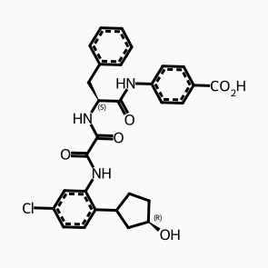 O=C(Nc1cc(Cl)ccc1C1CC[C@@H](O)C1)C(=O)N[C@@H](Cc1ccccc1)C(=O)Nc1ccc(C(=O)O)cc1